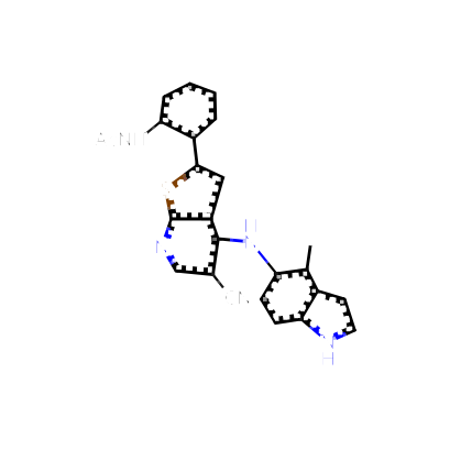 CC(=O)Nc1ccccc1-c1cc2c(Nc3ccc4[nH]ccc4c3C)c(C#N)cnc2s1